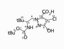 CC(C)(C)OC(=O)NC(Cn1nc(O)c(Cl)c1C(=O)O)C(C)(C)C